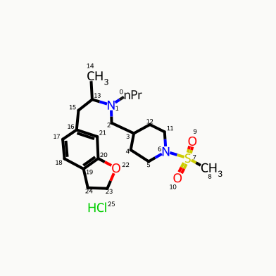 CCCN(CC1CCN(S(C)(=O)=O)CC1)C(C)Cc1ccc2c(c1)OCC2.Cl